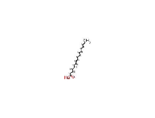 CCCCCCCCCC=CCCCCCCC(=O)O